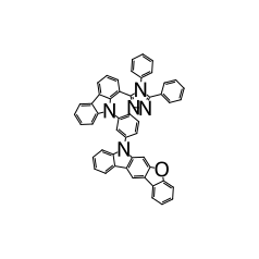 c1ccc(-c2nnc(-c3cccc4c5ccccc5n(-c5cccc(-n6c7ccccc7c7cc8c(cc76)oc6ccccc68)c5)c34)n2-c2ccccc2)cc1